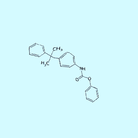 CC(C)(c1ccccc1)c1ccc(NC(=O)Oc2ccccc2)cc1